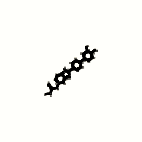 COC(=O)Cn1ccc2nc(-c3ccc(-c4ccc(C)c(C)c4)cc3)nc-2c1